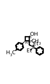 CC[Si](CC)(C[C@]1(C)[C@H](O)C[C@@H]1c1ccc(C)cc1)c1ccccc1